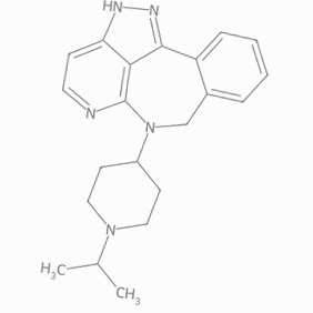 CC(C)N1CCC(N2Cc3ccccc3-c3n[nH]c4ccnc2c34)CC1